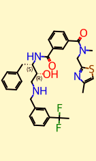 Cc1csc(CN(C)C(=O)c2cccc(C(=O)N[C@@H](Cc3ccccc3)[C@H](O)CNCc3cccc(C(C)(F)F)c3)c2)n1